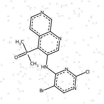 CP(C)(=O)c1c(Nc2nc(Cl)ncc2Br)cnc2cnccc12